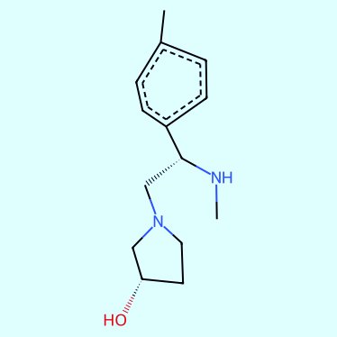 CN[C@H](CN1CC[C@H](O)C1)c1ccc(C)cc1